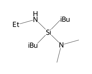 CCN[Si](C(C)CC)(C(C)CC)N(C)C